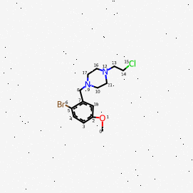 COc1ccc(Br)c(CN2CCN(CCCl)CC2)c1